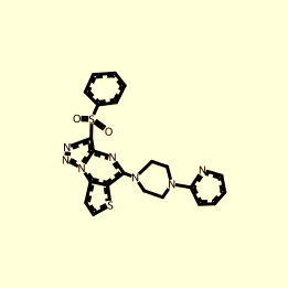 O=S(=O)(c1ccccc1)c1nnn2c1nc(N1CCN(c3ccccn3)CC1)c1sccc12